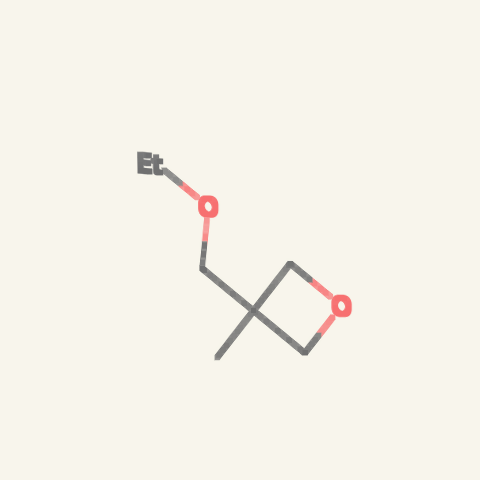 [CH2]COCC1(C)COC1